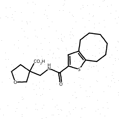 O=C(NCC1(C(=O)O)CCOC1)c1cc2c(s1)CCCCCC2